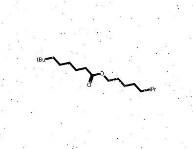 CC(C)CCCCCOC(=O)CCCCCC(C)(C)C